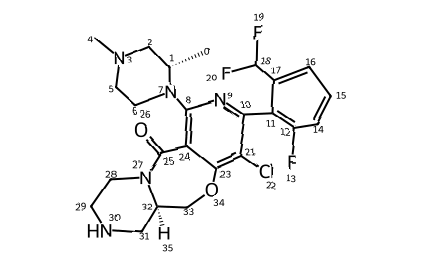 C[C@H]1CN(C)CCN1c1nc(-c2c(F)cccc2C(F)F)c(Cl)c2c1C(=O)N1CCNC[C@@H]1CO2